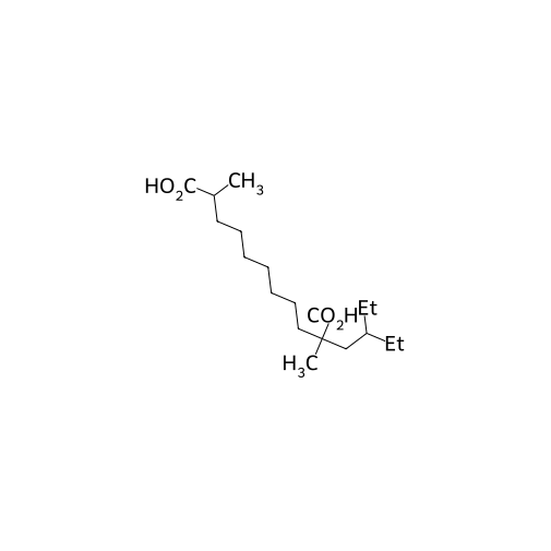 CCC(CC)CC(C)(CCCCCCCC(C)C(=O)O)C(=O)O